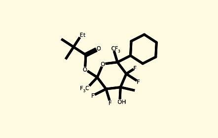 CCC(C)(C)C(=O)OC1(C(F)(F)F)OC(C2CCCCC2)(C(F)(F)F)C(F)(F)C(C)(O)C1(F)F